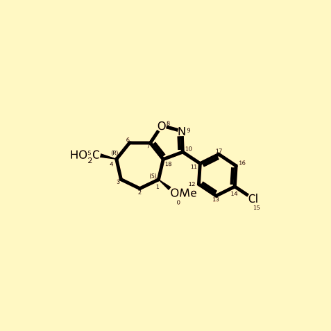 CO[C@H]1CC[C@@H](C(=O)O)Cc2onc(-c3ccc(Cl)cc3)c21